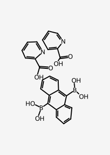 O=C(O)c1ccccn1.O=C(O)c1ccccn1.OB(O)c1c2ccccc2c(B(O)O)c2ccccc12